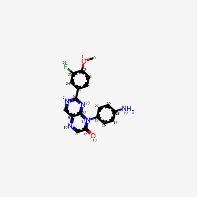 COc1ccc(-c2ncc3ncc(=O)n(-c4ccc(N)cc4)c3n2)cc1F